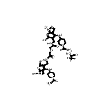 CCc1nc2c(cnn2CC)c(NC2CCN(C(N)=O)CC2)c1CNC(=O)COCC(=O)NCc1c(CC)nc2c(cnn2CC)c1NC1CCN(C(N)=O)CC1.O=C(O)C(F)(F)F